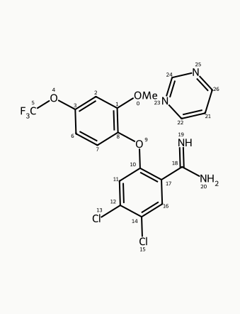 COc1cc(OC(F)(F)F)ccc1Oc1cc(Cl)c(Cl)cc1C(=N)N.c1cncnc1